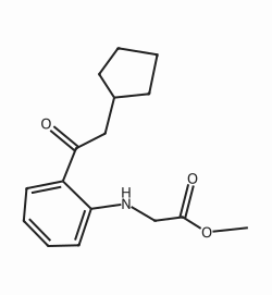 COC(=O)CNc1ccccc1C(=O)CC1CCCC1